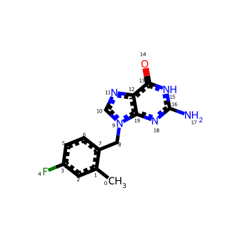 Cc1cc(F)ccc1Cn1cnc2c(=O)[nH]c(N)nc21